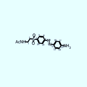 CC(=O)NCCS(=O)(=O)c1ccc(N=Nc2ccc(N)cc2)cc1